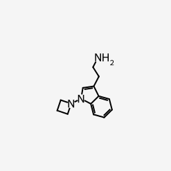 NCCc1cn(N2CCC2)c2ccccc12